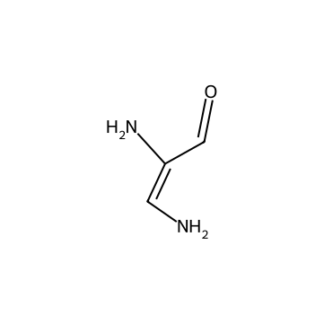 N/C=C(/N)C=O